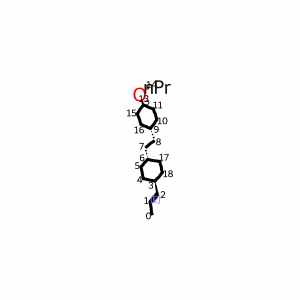 C/C=C/[C@H]1CC[C@H](CC[C@H]2CC[C@H](OCCC)CC2)CC1